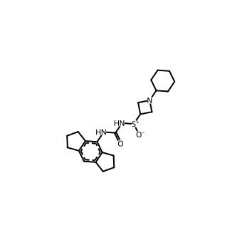 O=C(Nc1c2c(cc3c1CCC3)CCC2)N[S+]([O-])C1CN(C2CCCCC2)C1